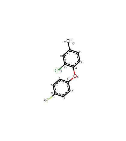 Cc1ccc(Oc2ccc(F)cc2)c(Cl)c1